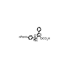 CCCCCc1ccc(S(=O)(=O)Nc2cc(-c3ccccc3)sc2OC(=O)O)cc1